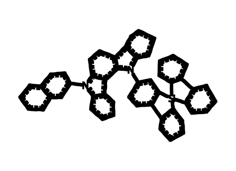 c1ccc2c(c1)-c1ccccc1[Si]21c2ccccc2-c2ccc(-n3c4ccccc4c4ccc5c(c6ccccc6n5-c5ccc6ccccc6c5)c43)cc21